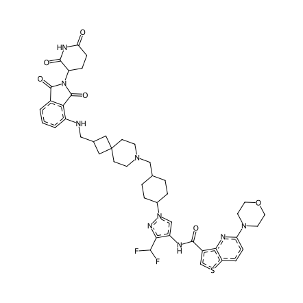 O=C1CCC(N2C(=O)c3cccc(NCC4CC5(CCN(CC6CCC(n7cc(NC(=O)c8csc9ccc(N%10CCOCC%10)nc89)c(C(F)F)n7)CC6)CC5)C4)c3C2=O)C(=O)N1